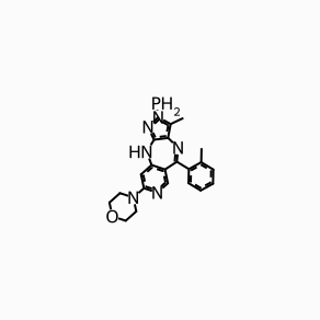 Cc1ccccc1C1=Nc2c(nn(P)c2C)Nc2cc(N3CCOCC3)ncc21